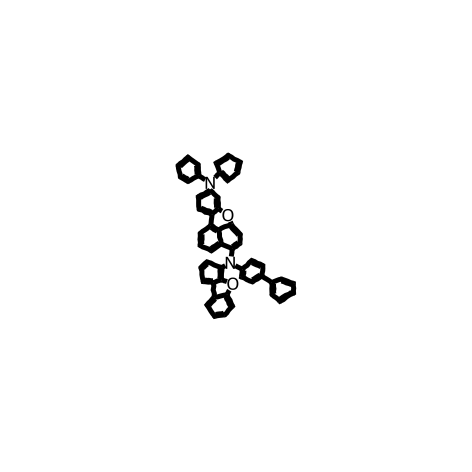 c1ccc(-c2ccc(N(c3ccc4c5c(cccc35)-c3ccc(N(c5ccccc5)c5ccccc5)cc3O4)c3cccc4c3oc3ccccc34)cc2)cc1